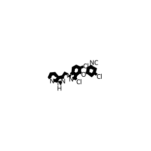 [C-]#[N+]c1cc(Cl)cc(Oc2c(Cl)ccc3c2c(Cl)nn3Cc2n[nH]c3ncccc23)c1